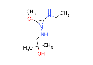 CCNC1C(OC)=[N+]1NCC(C)(C)O